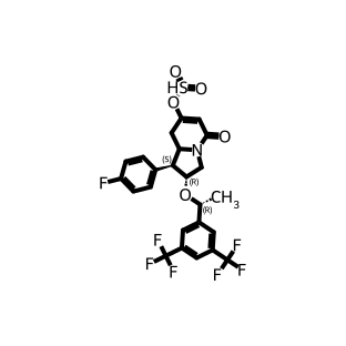 C[C@@H](O[C@H]1CN2C(=O)C=C(O[SH](=O)=O)CC2[C@@H]1c1ccc(F)cc1)c1cc(C(F)(F)F)cc(C(F)(F)F)c1